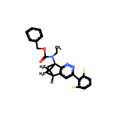 CCN(C(=O)OCc1ccccc1)[C@@]12CC[C@@H](c3cc(-c4c(F)cccc4F)nnc31)C2(C)C